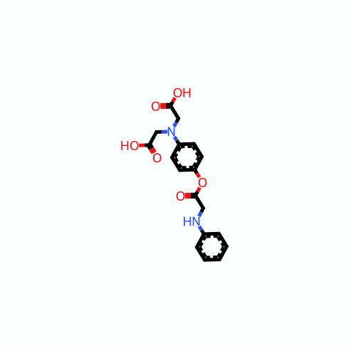 O=C(O)CN(CC(=O)O)c1ccc(OC(=O)CNc2ccccc2)cc1